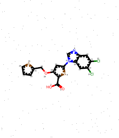 O=C(O)c1sc(-n2cnc3cc(Cl)c(Cl)cc32)cc1OCc1cccs1